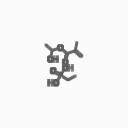 C=C(C)C(=O)OC(C)O.CCP(=O)(O)O